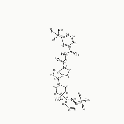 O=C(NCC(=O)N1CCC2C1CCN2C1CCC(O)(c2cccc(C(F)(F)F)n2)CC1)c1cccc(C(F)(F)F)c1